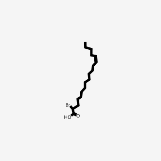 CCCC/C=C\CCCCCCCCCCC(Br)C(=O)O